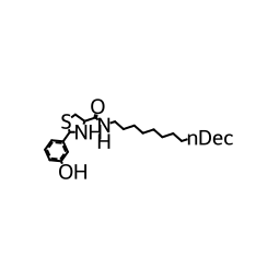 CCCCCCCCCCCCCCCCCCNC(=O)C1CSC(c2cccc(O)c2)N1